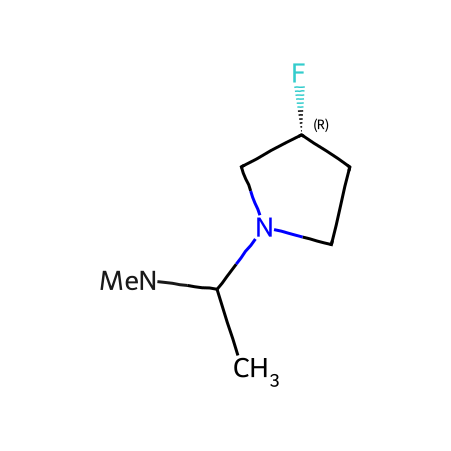 CNC(C)N1CC[C@@H](F)C1